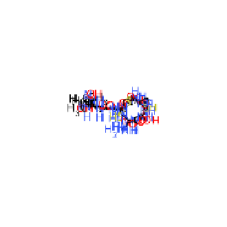 C/C(=N/O)C(C)(C)NCCC(CCNC(=O)CCCC(=O)NCCCC[C@]1(C=O)CNC(CS)C(=O)N[C@@H](CCCNC(=N)N)C(=O)NCC(=O)N[C@@H](CC(=O)O)C(=O)N[C@@H](S)C(=O)N[C@@H](Cc2ccccc2)C(=O)N[C@H](C(N)=O)CSCC(=O)N1)CCNC(C)(C)/C(C)=N\O